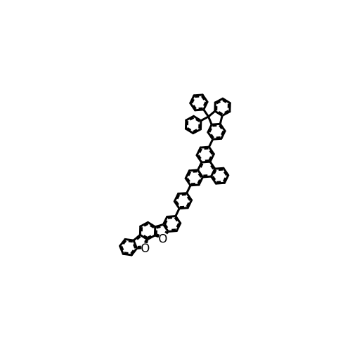 c1ccc(C2(c3ccccc3)c3ccccc3-c3ccc(-c4ccc5c6ccc(-c7ccc(-c8ccc9oc%10c(ccc%11c%12ccccc%12oc%11%10)c9c8)cc7)cc6c6ccccc6c5c4)cc32)cc1